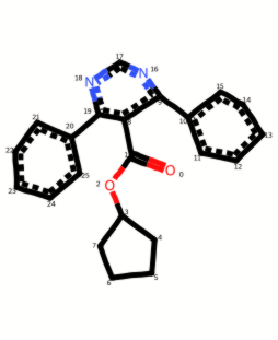 O=C(OC1CCCC1)c1c(-c2ccccc2)ncnc1-c1ccccc1